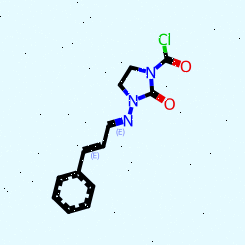 O=C(Cl)N1CCN(/N=C/C=C/c2ccccc2)C1=O